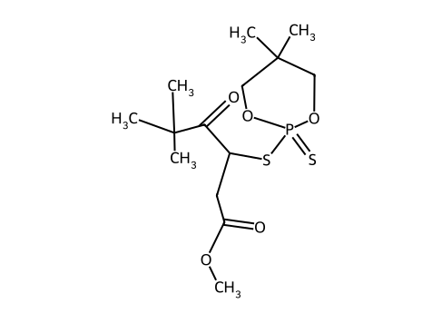 COC(=O)CC(SP1(=S)OCC(C)(C)CO1)C(=O)C(C)(C)C